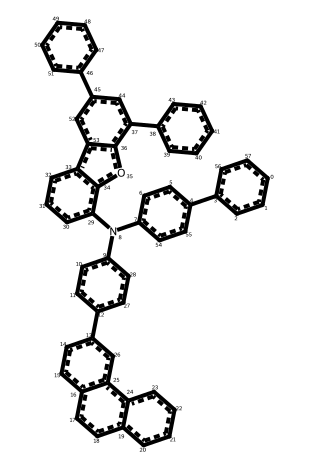 c1ccc(-c2ccc(N(c3ccc(-c4ccc5ccc6ccccc6c5c4)cc3)c3cccc4c3oc3c(-c5ccccc5)cc(-c5ccccc5)cc34)cc2)cc1